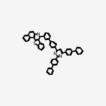 c1ccc(-c2ccc(-c3cc(-c4ccc(-c5cccc(-c6nc7ccc8ccccc8c7c7sc8ccccc8c67)c5)cc4)nc(-c4ccc(-c5ccccc5)cc4)n3)cc2)cc1